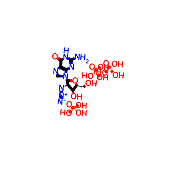 O=P(O)(O)O.O=P(O)(O)O.O=P(O)(O)O.[N-]=[N+]=N[C@H]1[C@H](O)[C@@H](CO)O[C@H]1n1cnc2c(=O)[nH]c(N)nc21